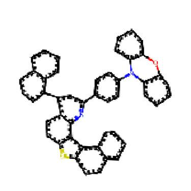 c1ccc2c(c1)Oc1ccccc1N2c1ccc(-c2cc(-c3cccc4ccccc34)c3ccc4sc5ccc6ccccc6c5c4c3n2)cc1